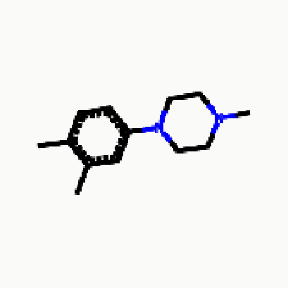 Cc1ccc(N2CCN(C)CC2)cc1C